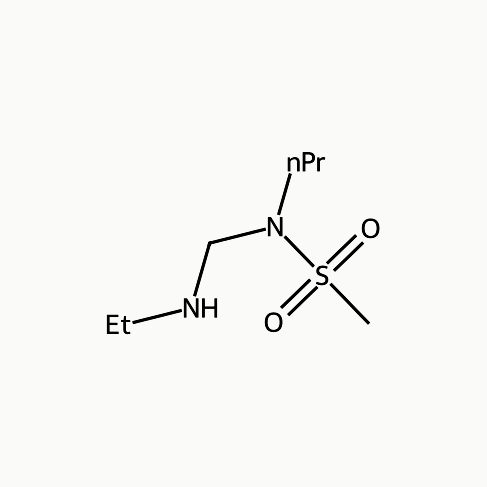 CCCN(CNCC)S(C)(=O)=O